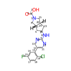 O=C(O)N1C[C@H]2C[C@@H](Nc3ncc(-c4cc(F)ccc4Cl)cn3)C[C@H]2C1